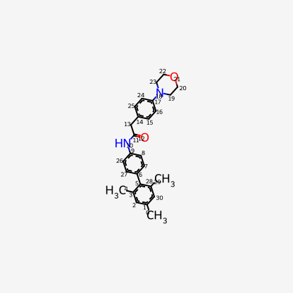 Cc1cc(C)c(-c2ccc(NC(=O)Cc3ccc(N4CCOCC4)cc3)cc2)c(C)c1